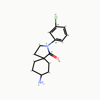 NC1CCC2(CC1)CCN(c1cccc(Cl)c1)C2=O